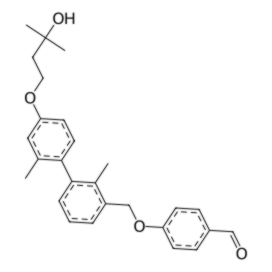 Cc1cc(OCCC(C)(C)O)ccc1-c1cccc(COc2ccc(C=O)cc2)c1C